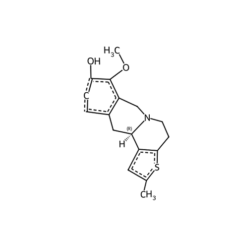 COc1c(O)ccc2c1CN1CCc3sc(C)cc3[C@H]1C2